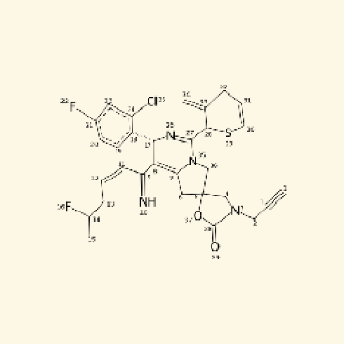 C#CCN1CC2(CC3=C(C(=N)/C=C\CC(C)F)[C@H](c4ccc(F)cc4Cl)N=C(C4SC=CCC4=C)N3C2)OC1=O